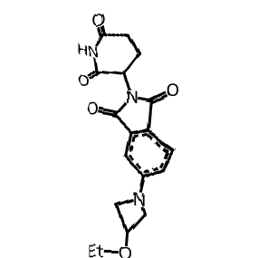 CCOC1CN(c2ccc3c(c2)C(=O)N(C2CCC(=O)NC2=O)C3=O)C1